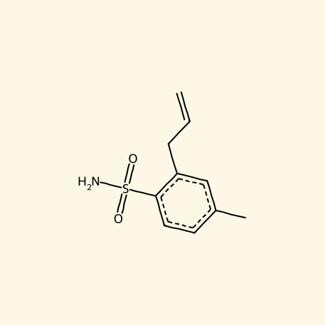 C=CCc1cc(C)ccc1S(N)(=O)=O